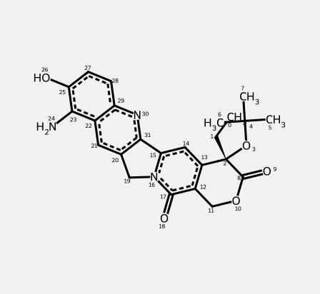 CC[C@@]1(OC(C)(C)C)C(=O)OCc2c1cc1n(c2=O)Cc2cc3c(N)c(O)ccc3nc2-1